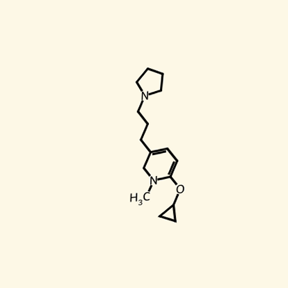 CN1CC(CCCN2CCCC2)=CC=C1OC1CC1